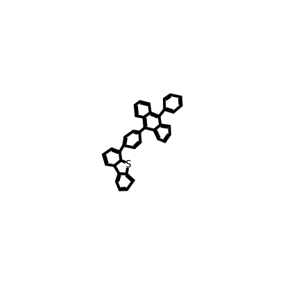 C1=CC2c3ccccc3SC2C(c2ccc(-c3c4ccccc4c(-c4ccccc4)c4ccccc34)cc2)=C1